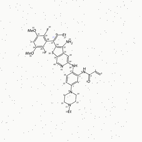 C=CC(=O)Nc1cc(N2CCN(CC)CC2)ccc1Nc1cc2c(N)c(/C(=C\CC)c3c(F)c(OC)cc(OC)c3F)sc2cn1